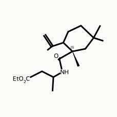 C=C(C)C1CCC(C)(C)C[C@]1(C)C(=O)NC(C)CC(=O)OCC